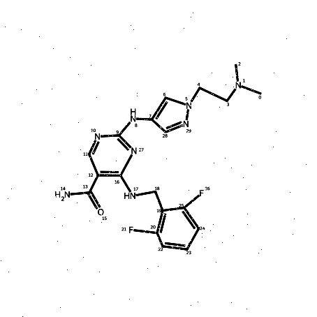 CN(C)CCn1cc(Nc2ncc(C(N)=O)c(NCc3c(F)cccc3F)n2)cn1